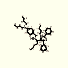 CCCCC(NCc1ccc(N(CCCC)CCCC)cc1)c1c(-c2ccccc2)nc(-c2ccccc2)n1CCCC